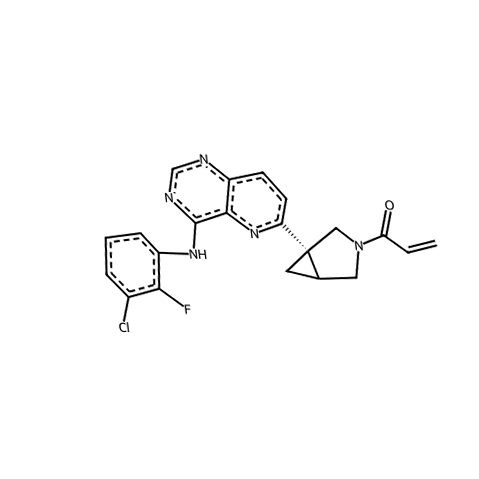 C=CC(=O)N1CC2C[C@@]2(c2ccc3ncnc(Nc4cccc(Cl)c4F)c3n2)C1